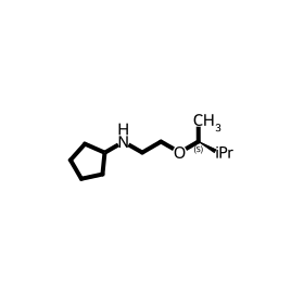 CC(C)[C@H](C)OCCNC1CCCC1